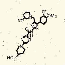 COc1ccc(-c2nc(NC(=O)c3cnc(N4CCC(C(=O)O)CC4)cn3)sc2CN2CCCC(C#N)C2)cc1C(F)(F)F